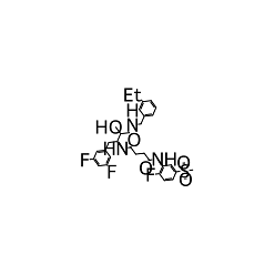 CCc1cccc(CNCC(O)C(Cc2cc(F)cc(F)c2)NC(=O)CCC(=O)Nc2cc(S(C)(=O)=O)ccc2F)c1